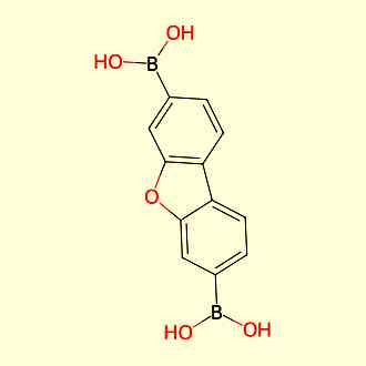 OB(O)c1ccc2c(c1)oc1cc(B(O)O)ccc12